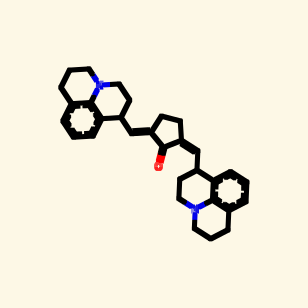 O=C1C(=CC2CCN3CCCc4cccc2c43)CCC1=CC1CCN2CCCc3cccc1c32